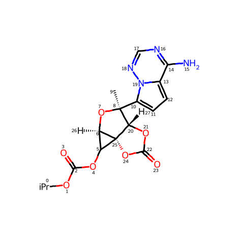 CC(C)OC(=O)OC1[C@H]2O[C@@](C)(c3ccc4c(N)ncnn34)[C@@H]3OC(=O)O[C@]123